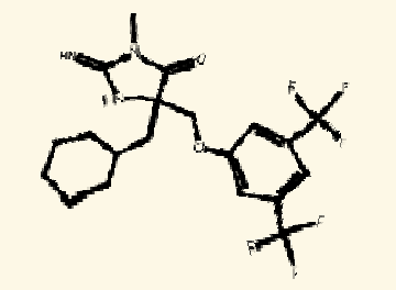 CN1C(=N)NC(COc2cc(C(F)(F)F)cc(C(F)(F)F)c2)(CC2CCCCC2)C1=O